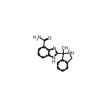 CC1(c2nc3c(C(N)=O)cccc3[nH]2)NCc2ccccc21